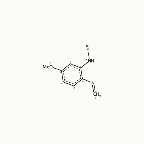 C=Nc1ccc(OC)cc1NF